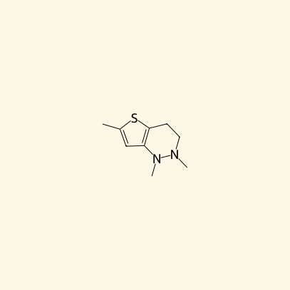 Cc1cc2c(s1)CCN(C)N2C